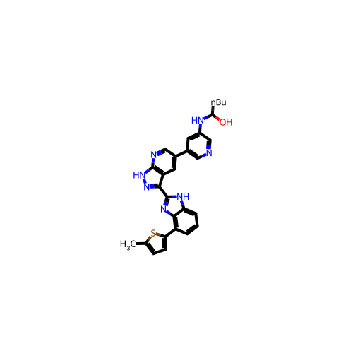 CCCCC(O)Nc1cncc(-c2cnc3[nH]nc(-c4nc5c(-c6ccc(C)s6)cccc5[nH]4)c3c2)c1